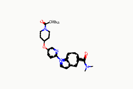 CC(C)COC(=O)N1CCC(Oc2ccc(-n3ccc4cc(C(=O)N(C)C)ccc43)nc2)CC1